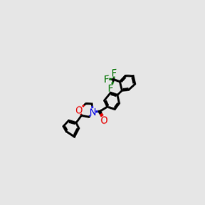 O=C(c1ccc(-c2ccccc2C(F)(F)F)cc1)N1CCOC(c2ccccc2)C1